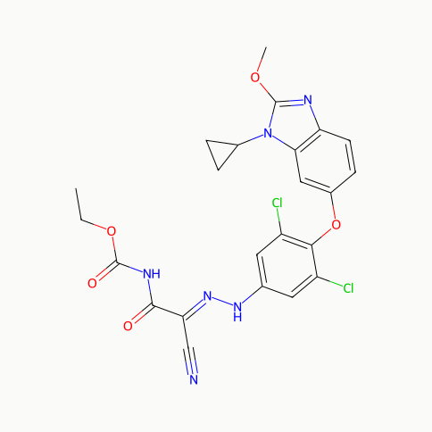 CCOC(=O)NC(=O)/C(C#N)=N/Nc1cc(Cl)c(Oc2ccc3nc(OC)n(C4CC4)c3c2)c(Cl)c1